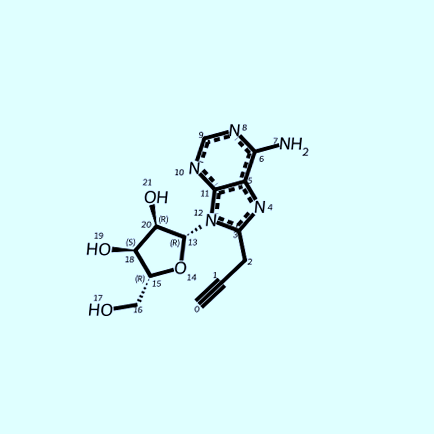 C#CCc1nc2c(N)ncnc2n1[C@@H]1O[C@H](CO)[C@@H](O)[C@H]1O